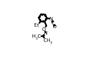 CCc1cccc(N=C=O)c1CON=C(C)C